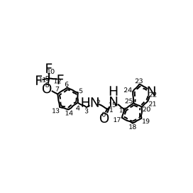 O=C(NCc1ccc(OC(F)(F)F)cc1)Nc1cccc2cnccc12